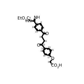 CCOC(=O)NC(=N)c1ccc(C(=O)CCC(=O)c2ccc(OCC(=O)O)cc2)cc1